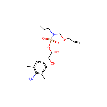 C=CCOCN(CCC)S(=O)(=O)OC(=O)CO.Cc1cccc(C)c1N